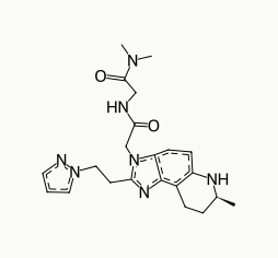 C[C@H]1CCc2c(ccc3c2nc(CCn2cccn2)n3CC(=O)NCC(=O)N(C)C)N1